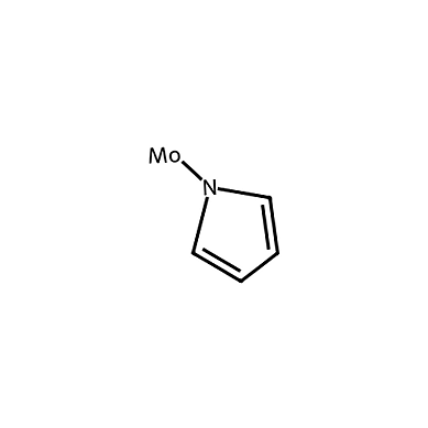 [Mo][n]1cccc1